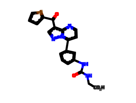 O=C(O)CNC(=O)Nc1cccc(-c2ccnc3c(C(=O)c4cccs4)cnn23)c1